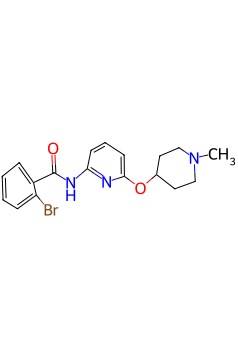 CN1CCC(Oc2cccc(NC(=O)c3ccccc3Br)n2)CC1